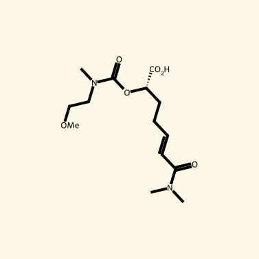 COCCN(C)C(=O)O[C@@H](CC/C=C/C(=O)N(C)C)C(=O)O